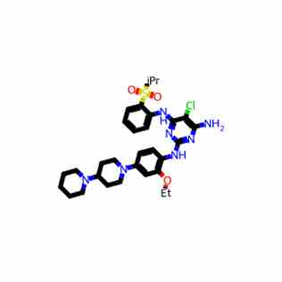 CCOc1cc(N2CCC(N3CCCCC3)CC2)ccc1Nc1nc(N)c(Cl)c(Nc2ccccc2S(=O)(=O)C(C)C)n1